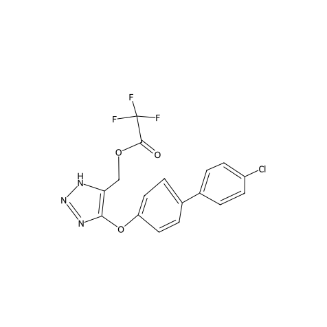 O=C(OCc1[nH]nnc1Oc1ccc(-c2ccc(Cl)cc2)cc1)C(F)(F)F